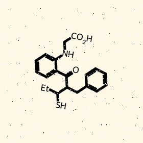 CCC(S)C(Cc1ccccc1)C(=O)c1ccccc1NCC(=O)O